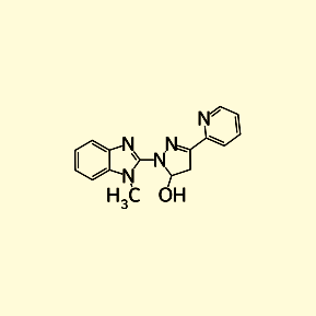 Cn1c(N2N=C(c3ccccn3)CC2O)nc2ccccc21